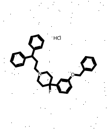 Cl.FC1(c2cccc(OCc3ccccc3)c2)CCN(CCC(c2ccccc2)c2ccccc2)CC1